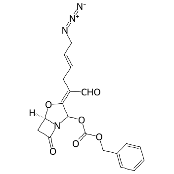 [N-]=[N+]=NCC=CCC(C=O)=C1O[C@@H]2CC(=O)N2C1OC(=O)OCc1ccccc1